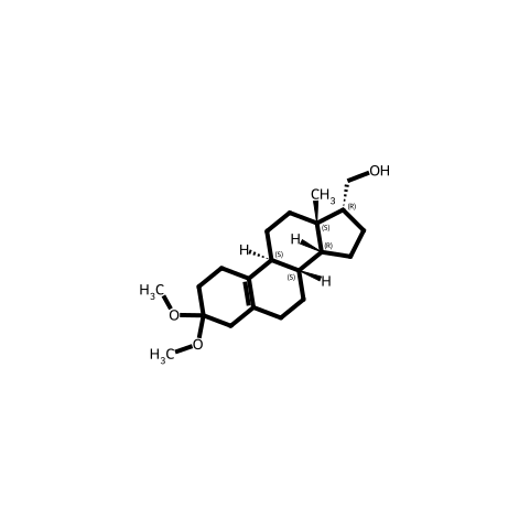 COC1(OC)CCC2=C(CC[C@@H]3[C@@H]2CC[C@]2(C)[C@H](CO)CC[C@H]32)C1